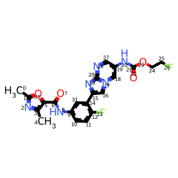 Cc1nc(C)c(C(=O)Nc2ccc(F)c(-c3cn4cc(NC(=O)OCCF)cnc4n3)c2)o1